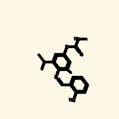 CNC(=O)Oc1cc(C)c(/N=C\c2ccccc2O)c(C(C)C)c1